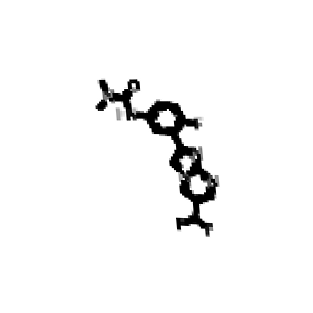 CN(C)C(=O)Nc1ccc(F)c(-c2cn3cc(C(F)F)cnc3n2)c1